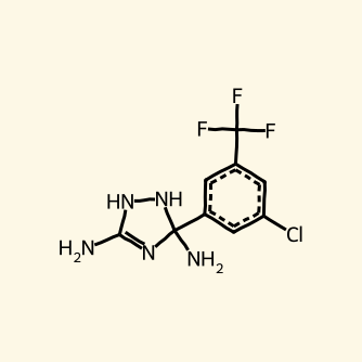 NC1=NC(N)(c2cc(Cl)cc(C(F)(F)F)c2)NN1